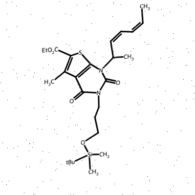 C/C=C\C=C/C(C)n1c(=O)n(CCCO[Si](C)(C)C(C)(C)C)c(=O)c2c(C)c(C(=O)OCC)sc21